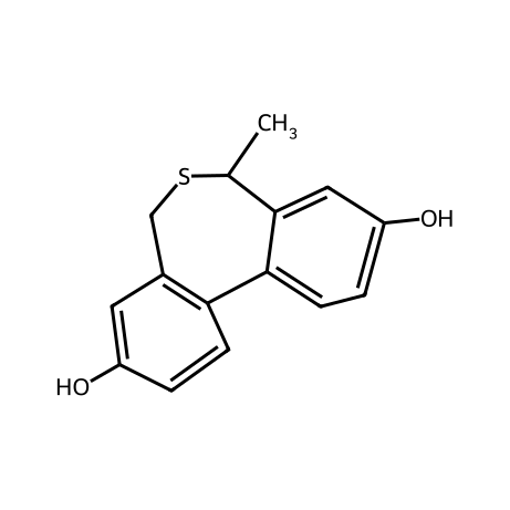 CC1SCc2cc(O)ccc2-c2ccc(O)cc21